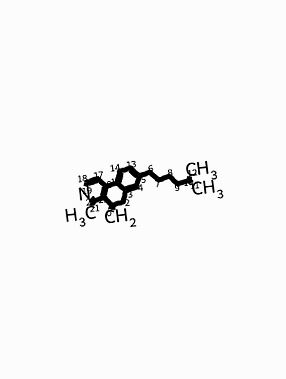 C=C1Cc2cc(CCCCC(C)C)ccc2-c2ccnc(C)c21